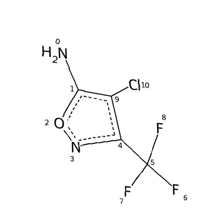 Nc1onc(C(F)(F)F)c1Cl